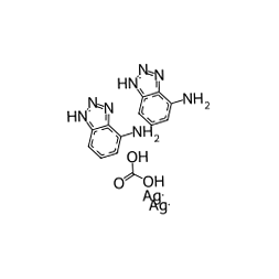 Nc1cccc2[nH]nnc12.Nc1cccc2[nH]nnc12.O=C(O)O.[Ag].[Ag]